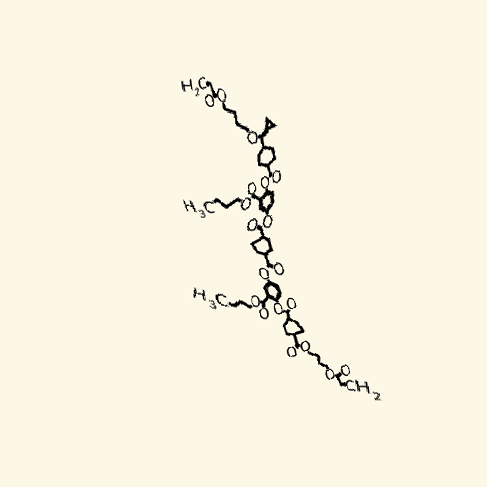 C=CC(=O)OCCCCOC(=O)C1CCC(C(=O)Oc2ccc(OC(=O)C3CCC(C(=O)Oc4ccc(OC(=O)C5CCC(C(OCCCCOC(=O)C=C)=C6CC6)CC5)c(C(=O)OCCCC)c4)CC3)cc2C(=O)OCCCC)CC1